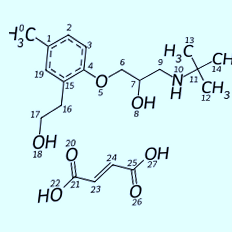 Cc1ccc(OCC(O)CNC(C)(C)C)c(CCO)c1.O=C(O)C=CC(=O)O